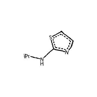 CC(C)Nc1nccs1